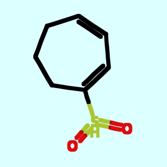 O=[SH](=O)C1=CC=CCCC1